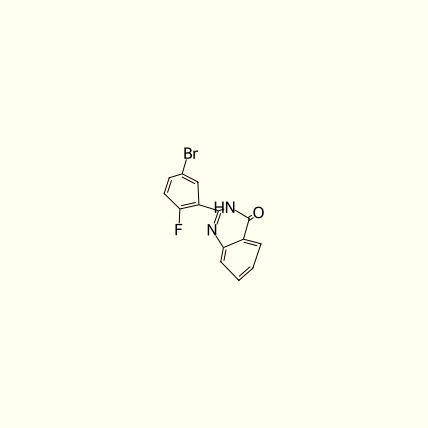 O=c1[nH]c(-c2cc(Br)ccc2F)nc2ccccc12